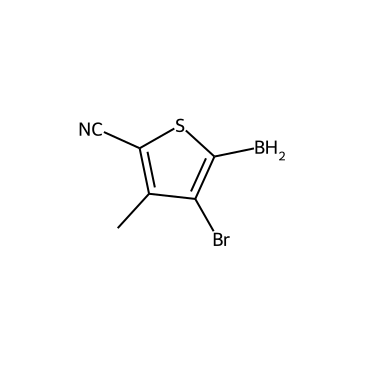 Bc1sc(C#N)c(C)c1Br